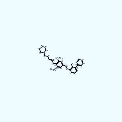 COc1cc(OCc2cccc(-c3ccccc3)c2C)cc(OC)c1CNCCCN1CCOCC1